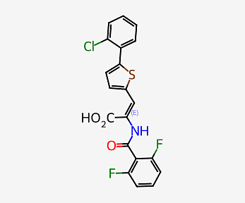 O=C(O)/C(=C\c1ccc(-c2ccccc2Cl)s1)NC(=O)c1c(F)cccc1F